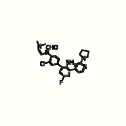 CN(C)/C=C\N(C=O)c1ccc(-c2cc(F)cc(-c3ccnc(N4CCCC4)c3)c2N)cc1Cl